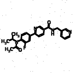 CC(=O)N(c1ccc(-c2ccc(C(=O)NCc3cccnc3)cn2)cc1F)C(C)C